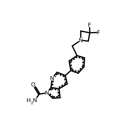 NC(=O)n1c[c]c2cc(-c3cccc(CN4CC(F)(F)C4)c3)cnc21